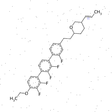 C/C=C/C1CCC(CCc2ccc(-c3ccc(-c4ccc(OCC)c(F)c4F)c(F)c3F)c(F)c2)OC1